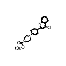 CC(C)(C)OC(=O)N1CCN(c2ccc(-c3cc(Cl)c4ccccc4n3)cc2)CC1